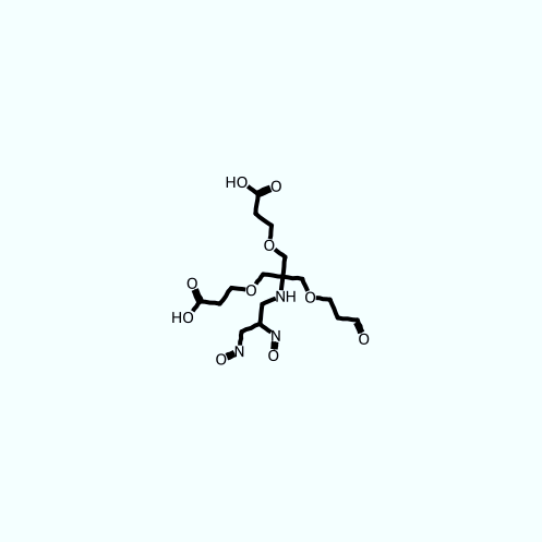 O=CCCOCC(COCCC(=O)O)(COCCC(=O)O)NCC(CN=O)N=O